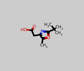 Cc1oc(C(C)(C)C)nc1CC(=O)O